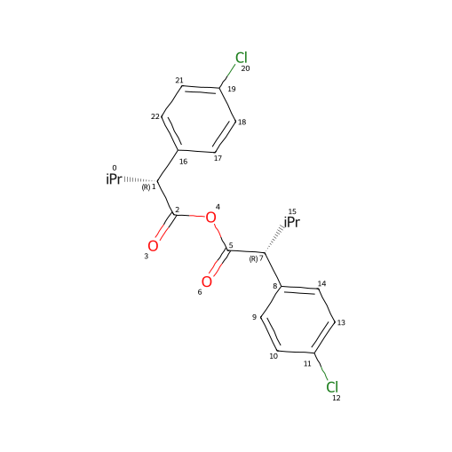 CC(C)[C@@H](C(=O)OC(=O)[C@@H](c1ccc(Cl)cc1)C(C)C)c1ccc(Cl)cc1